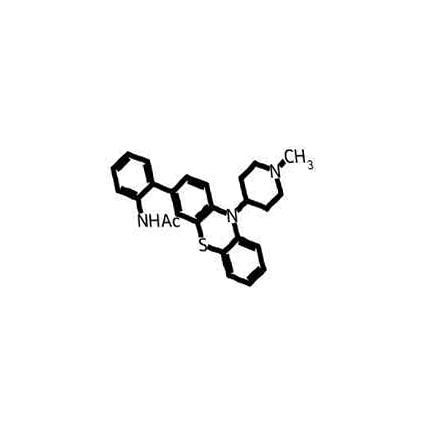 CC(=O)Nc1ccccc1-c1ccc2c(c1)Sc1ccccc1N2C1CCN(C)CC1